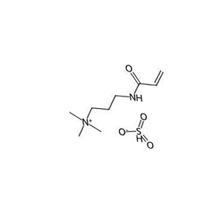 C=CC(=O)NCCC[N+](C)(C)C.O=[SH](=O)[O-]